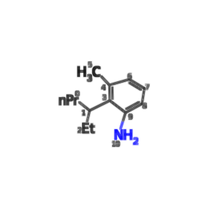 CCCC(CC)c1c(C)cccc1N